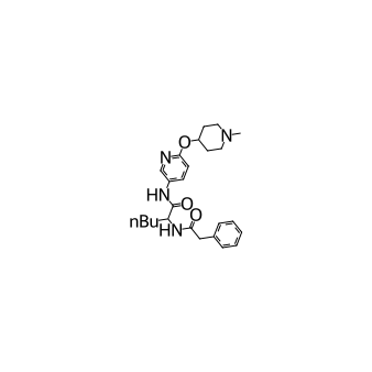 CCCCC(NC(=O)Cc1ccccc1)C(=O)Nc1ccc(OC2CCN(C)CC2)nc1